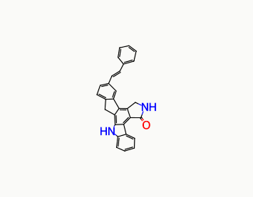 O=C1NCc2c3c(c4[nH]c5ccccc5c4c21)Cc1ccc(C=Cc2ccccc2)cc1-3